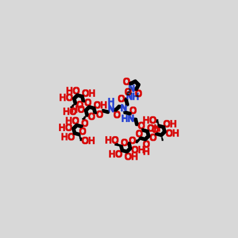 C[C@@H]1[C@@H](O[C@@H]2[C@@H](O)[C@H](OCCNC(=O)CN(CC(=O)NCCO[C@@H]3O[C@H](CO[C@H]4O[C@H](CO)[C@@H](O)[C@H](O)[C@@H]4O)[C@@H](O)[C@H](O[C@H]4O[C@H](CO)[C@@H](O)[C@H](O)[C@@H]4O)[C@H]3O)CC(=O)NON3C(=O)CCC3=O)O[C@H](CO[C@H]3O[C@H](CO)[C@@H](O)[C@H](O)[C@@H]3O)[C@H]2O)O[C@H](CO)[C@@H](O)[C@@H]1O